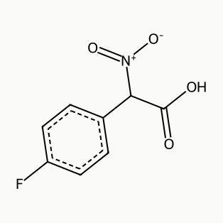 O=C(O)C(c1ccc(F)cc1)[N+](=O)[O-]